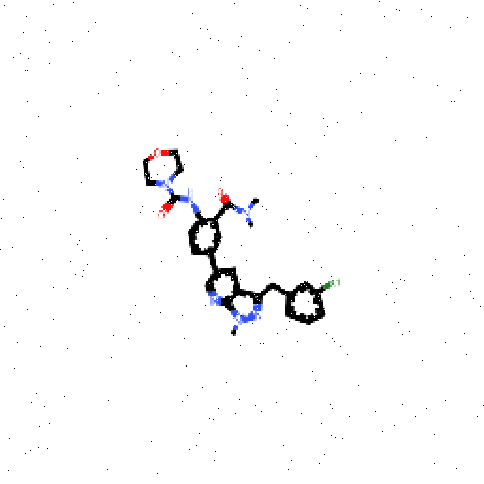 CN(C)C(=O)c1cc(-c2cnc3c(c2)c(Cc2cccc(Cl)c2)nn3C)ccc1NC(=O)N1CCOCC1